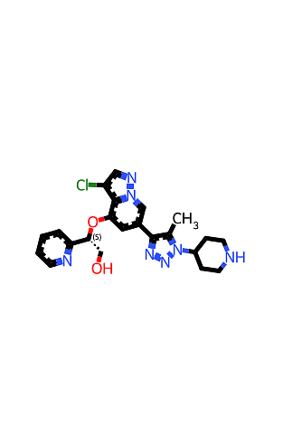 Cc1c(-c2cc(O[C@H](CO)c3ccccn3)c3c(Cl)cnn3c2)nnn1C1CCNCC1